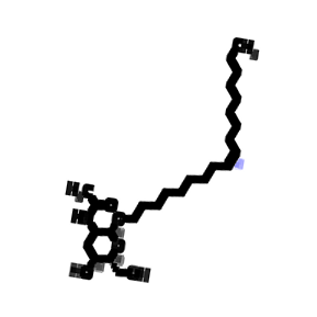 CCCCCCCC/C=C\CCCCCCCCO[C@H]1O[C@H](CO)[C@@H](O)CC1NC(C)=O